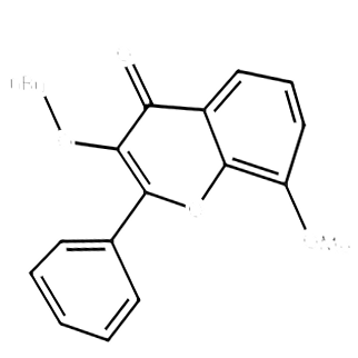 CCCCOc1c(-c2ccccc2)oc2c(OC)cccc2c1=O